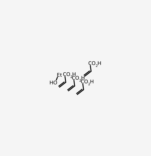 C=CC(=O)O.C=CC(=O)O.C=CC(=O)O.C=CC(=O)O.CCO